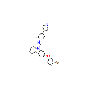 Cc1cc(-c2ccncc2)ccc1/N=C/n1c2ccccc2c2ccc(Oc3cccc(Br)c3)cc21